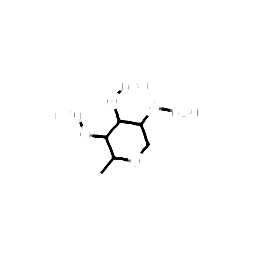 CCCCOC1COC(C)C(OCCCC)C1OCCCC